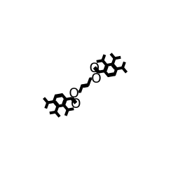 CC(C)c1ccc(C(=O)OCC=CCOC(=O)c2ccc(C(C)C)c(C(C)C)c2C(C)C)c(C(C)C)c1C(C)C